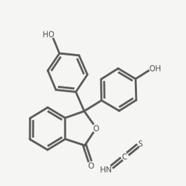 N=C=S.O=C1OC(c2ccc(O)cc2)(c2ccc(O)cc2)c2ccccc21